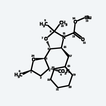 C[C@@H]1C[C@@H](C(=O)O)[C@H]([C@@H]2OC(C)(C)N(C(=O)OC(C)(C)C)[C@H]2CC2CCCCC2)O1